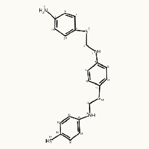 Nc1ccc(SCNc2ccc(SCNc3ccc(S)cc3)cc2)cc1